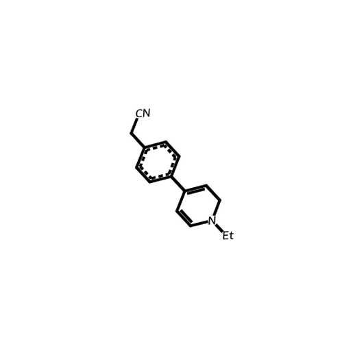 CCN1C=CC(c2ccc(CC#N)cc2)=CC1